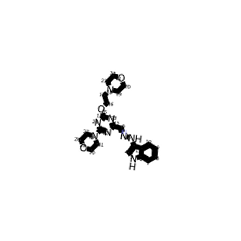 C(=N\Nc1c[nH]c2ccccc12)/c1nc(OCCN2CCOCC2)nc(N2CCOCC2)n1